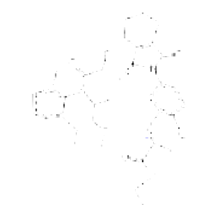 CCOC(=O)/C(Cl)=C/c1cc(N2C(=O)C3=C(CCCC3)C2=O)ccc1Cl.CCc1cccc(C)c1N(C(=O)CCl)C(C)COC